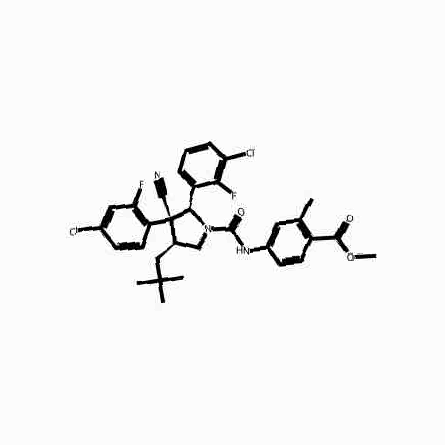 COC(=O)c1ccc(NC(=O)N2C[C@@H](CC(C)(C)C)[C@](C#N)(c3ccc(Cl)cc3F)[C@H]2c2cccc(Cl)c2F)cc1C